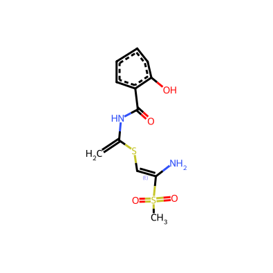 C=C(NC(=O)c1ccccc1O)S/C=C(\N)S(C)(=O)=O